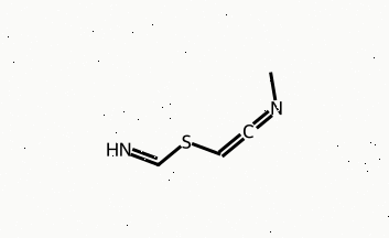 CN=C=CSC=N